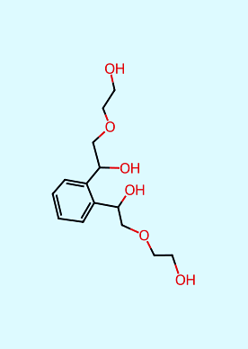 OCCOCC(O)c1ccccc1C(O)COCCO